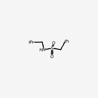 CC(C)CNS(=O)(=O)CC(C)C